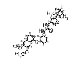 COc1cc2c(Oc3cccc(NC(=O)Nc4cc(C(C)(C)C(F)(F)F)on4)c3)ncnc2cc1OCl